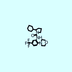 O=C(Nc1cc(C(F)(F)F)ccc1N1CCOCC1)N1CCCC1C1CCCCC1